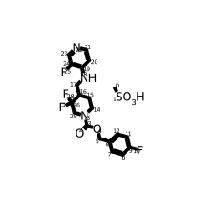 CS(=O)(=O)O.O=C(OCc1ccc(F)cc1)N1CCC(CNc2ccncc2F)C(F)(F)C1